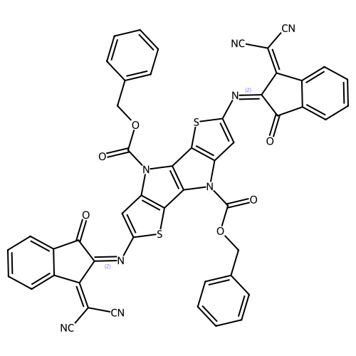 N#CC(C#N)=C1/C(=N/c2cc3c(s2)c2c(c4sc(/N=C5\C(=O)c6ccccc6C5=C(C#N)C#N)cc4n2C(=O)OCc2ccccc2)n3C(=O)OCc2ccccc2)C(=O)c2ccccc21